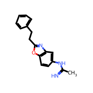 CC(=N)Nc1ccc2oc(CCc3ccccc3)nc2c1